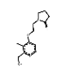 Cc1c(OCCN2CCCC2=O)ccnc1CO